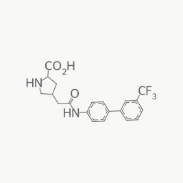 O=C(CC1CNC(C(=O)O)C1)Nc1ccc(-c2cccc(C(F)(F)F)c2)cc1